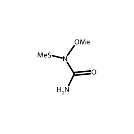 CON(SC)C(N)=O